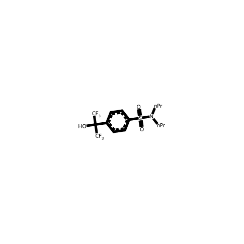 CCCN(CCC)S(=O)(=O)c1ccc(C(O)(C(F)(F)F)C(F)(F)F)cc1